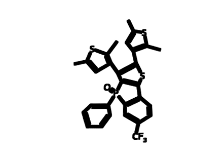 Cc1cc(-c2sc3c(c2-c2cc(C)sc2C)P(=O)(c2ccccc2)c2cc(C(F)(F)F)ccc2-3)c(C)s1